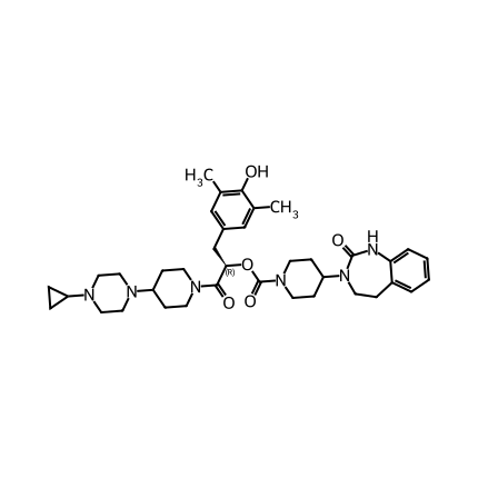 Cc1cc(C[C@@H](OC(=O)N2CCC(N3CCc4ccccc4NC3=O)CC2)C(=O)N2CCC(N3CCN(C4CC4)CC3)CC2)cc(C)c1O